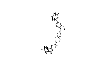 Cc1cc(-c2ccc3c(c2)CCC3N2CC3(CCN(C(=O)Cc4cnc5sc(C)nn45)CC3)C2)nc(C)n1